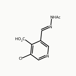 CC(=O)N/N=C/c1cncc(Cl)c1C(=O)O